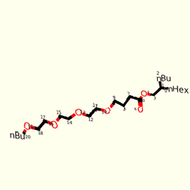 CCCCCCC(CCCC)COC(=O)CCCOCCOCCOCCOCCCC